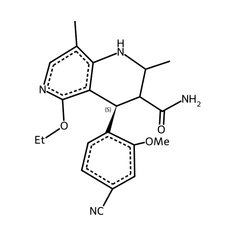 CCOc1ncc(C)c2c1[C@H](c1ccc(C#N)cc1OC)C(C(N)=O)C(C)N2